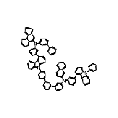 c1ccc(-c2cccc(N(c3cccc(-c4cccc5c4c4ccccc4n5-c4ccc(-c5cccc(-c6cccc(N(c7cccc(-c8cccc9c8c8ccccc8n9-c8ccccc8)c7)c7ccc8ccccc8c7)c6)c5)cc4)c3)c3cc4ccccc4c4ccccc34)c2)cc1